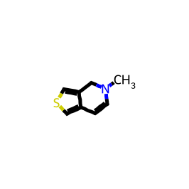 CN1C=Cc2cscc2C1